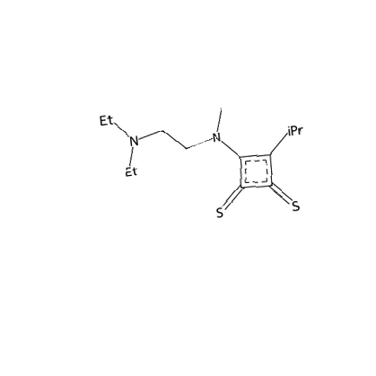 CCN(CC)CCN(C)c1c(C(C)C)c(=S)c1=S